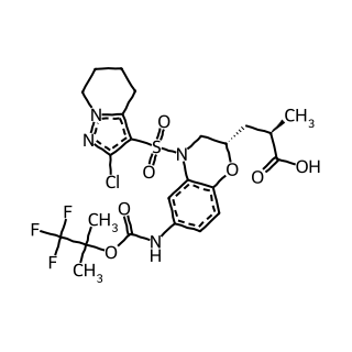 C[C@H](C[C@H]1CN(S(=O)(=O)c2c(Cl)nn3c2CCCC3)c2cc(NC(=O)OC(C)(C)C(F)(F)F)ccc2O1)C(=O)O